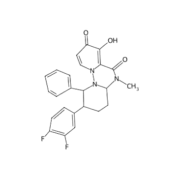 CN1C(=O)c2c(O)c(=O)ccn2N2C(c3ccccc3)C(c3ccc(F)c(F)c3)CCC12